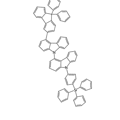 c1ccc(C2(c3ccccc3)c3ccccc3-c3cc(-c4cccc5c4c4ccccc4n5-c4cccc5c4c4ccccc4n5-c4ccc([Si](c5ccccc5)(c5ccccc5)c5ccccc5)cc4)ccc32)cc1